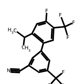 CC(C)c1cc(F)c(C(F)(F)F)cc1-c1cc(C#N)cc(C(F)(F)F)c1